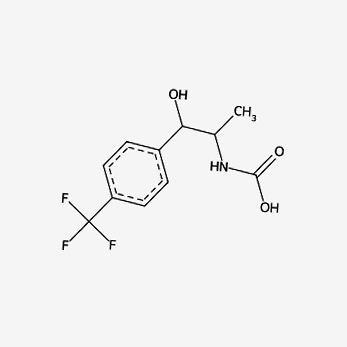 CC(NC(=O)O)C(O)c1ccc(C(F)(F)F)cc1